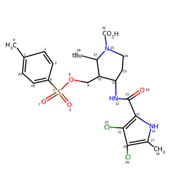 Cc1ccc(S(=O)(=O)OCC2C(NC(=O)c3[nH]c(C)c(Cl)c3Cl)CCN(C(=O)O)C2C(C)(C)C)cc1